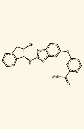 CNC(=O)c1cc(Oc2ccc3nc(N[C@H]4c5ccccc5C[C@H]4O)oc3c2)ccn1